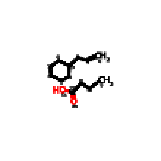 C=CCC1CCCCC1.CCCC(=O)O